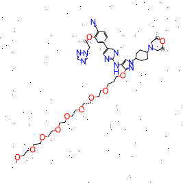 COCCOCCOCCOCCOCCOCCOCCOCCCOc1nn(C2CCC(N3C[C@@H](C)O[C@@H](C)C3)CC2)cc1Nc1ncc(-c2ccc(C#N)c(O[C@@H](C)Cn3cncn3)c2)cn1